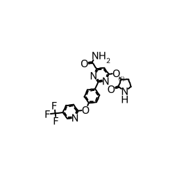 NC(=O)c1cc(O[C@H]2CCNC2=O)nc(-c2ccc(Oc3ccc(C(F)(F)F)cn3)cc2)n1